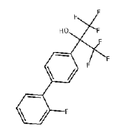 OC(c1ccc(-c2ccccc2F)cc1)(C(F)(F)F)C(F)(F)F